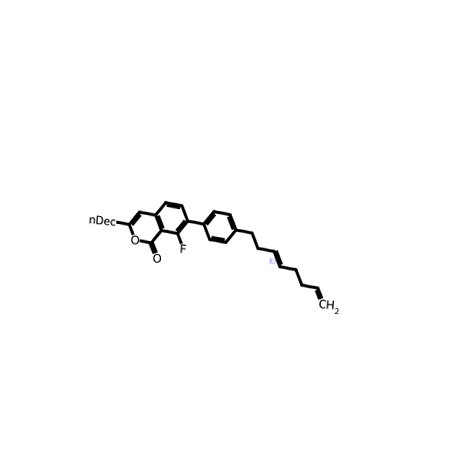 C=CCC/C=C/CCc1ccc(-c2ccc3cc(CCCCCCCCCC)oc(=O)c3c2F)cc1